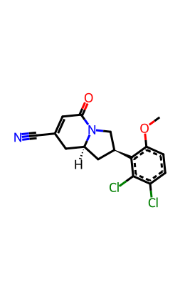 COc1ccc(Cl)c(Cl)c1[C@H]1C[C@H]2CC(C#N)=CC(=O)N2C1